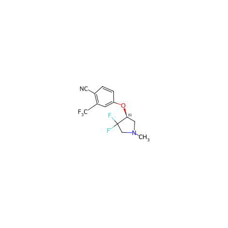 CN1C[C@H](Oc2ccc(C#N)c(C(F)(F)F)c2)C(F)(F)C1